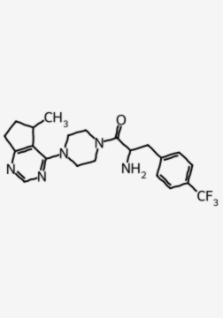 CC1CCc2ncnc(N3CCN(C(=O)C(N)Cc4ccc(C(F)(F)F)cc4)CC3)c21